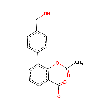 CC(=O)Oc1c(C(=O)O)cccc1-c1ccc(CO)cc1